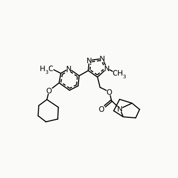 Cc1nc(-c2nnn(C)c2COC(=O)N2C3CCC2CC3)ccc1OC1CCCCC1